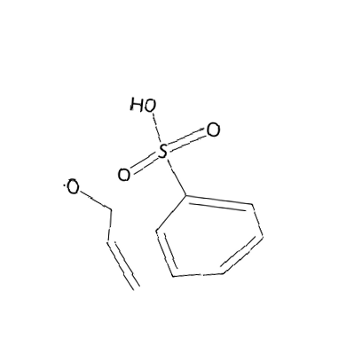 C=CC[O].O=S(=O)(O)c1ccccc1